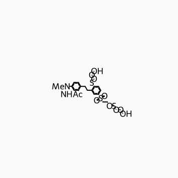 CNc1ccc(CCc2cc(S(=O)(=O)CCOSOOO)ccc2SOOO)c(NC(C)=O)c1